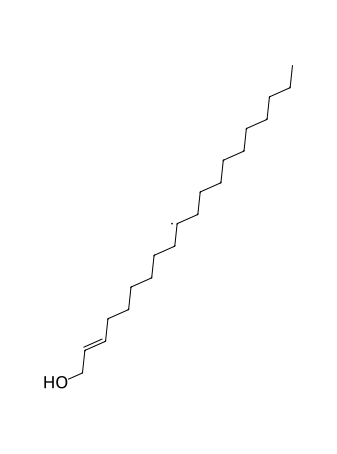 CCCCCCCCCC[CH]CCCCCCC=CCO